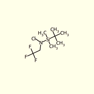 CC(C)(C)[Si](C)(C)N(Cl)CC(F)(F)F